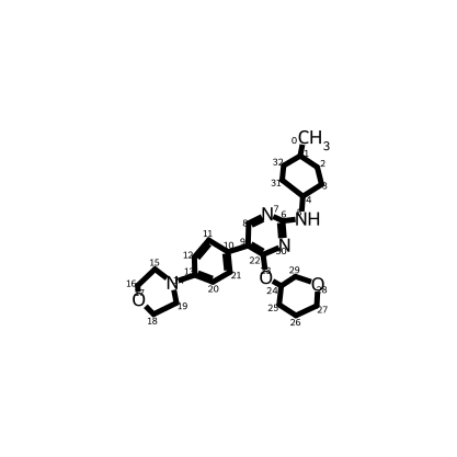 CC1CCC(Nc2ncc(-c3ccc(N4CCOCC4)cc3)c(OC3CCCOC3)n2)CC1